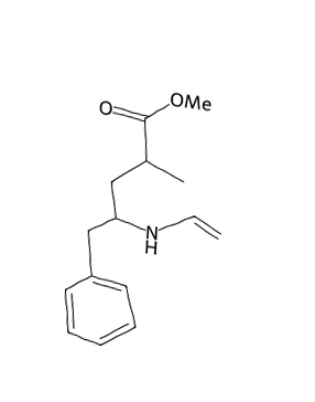 C=CNC(Cc1ccccc1)CC(C)C(=O)OC